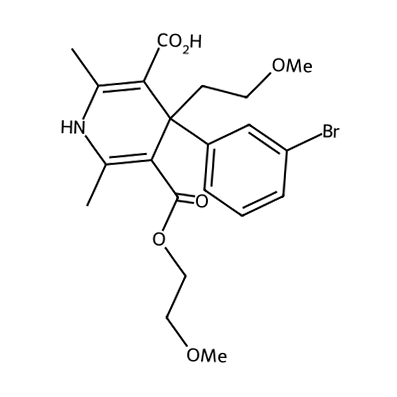 COCCOC(=O)C1=C(C)NC(C)=C(C(=O)O)C1(CCOC)c1cccc(Br)c1